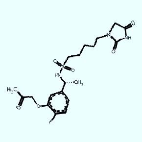 CC(=O)COc1cc([C@@H](C)NS(=O)(=O)CCCCCN2CC(=O)NC2=O)ccc1F